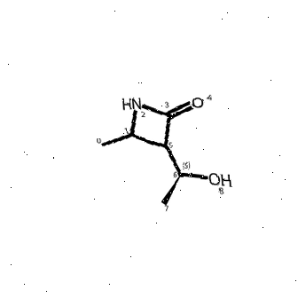 CC1NC(=O)C1[C@H](C)O